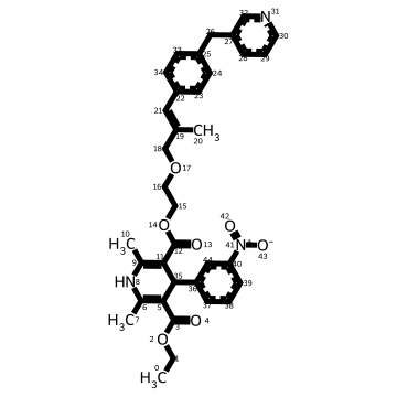 CCOC(=O)C1=C(C)NC(C)=C(C(=O)OCCOC/C(C)=C/c2ccc(Cc3cccnc3)cc2)C1c1cccc([N+](=O)[O-])c1